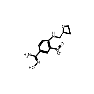 NC(=NO)c1ccc(NC[C@@H]2CCO2)c([N+](=O)[O-])c1